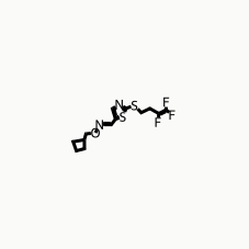 FC(F)=C(F)CCSc1ncc(/C=N/OCC2CCC2)s1